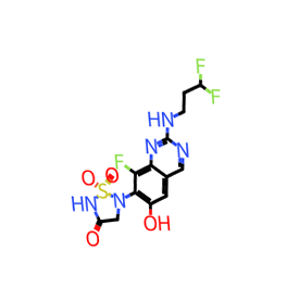 O=C1CN(c2c(O)cc3cnc(NCCC(F)F)nc3c2F)S(=O)(=O)N1